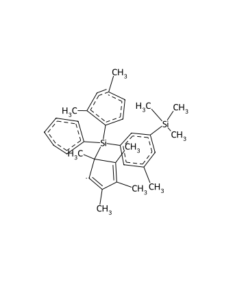 CC1=[C]C(C)([Si](c2ccccc2)(c2cc(C)cc([Si](C)(C)C)c2)c2ccc(C)cc2C)C(C)=C1C